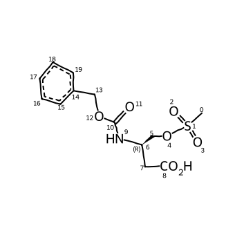 CS(=O)(=O)OC[C@@H](CC(=O)O)NC(=O)OCc1ccccc1